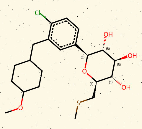 COC1CCC(Cc2cc([C@@H]3O[C@H](CSC)[C@@H](O)[C@H](O)[C@H]3O)ccc2Cl)CC1